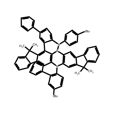 CC(C)(C)c1ccc(N2B3c4cc5c(cc4N(c4ccc(C(C)(C)C)cc4-c4ccccc4)c4cc6c(c(c43)-c3cc(-c4ccccc4)ccc32)C(C)(C)c2ccccc2-6)C(C)(C)c2ccccc2-5)cc1